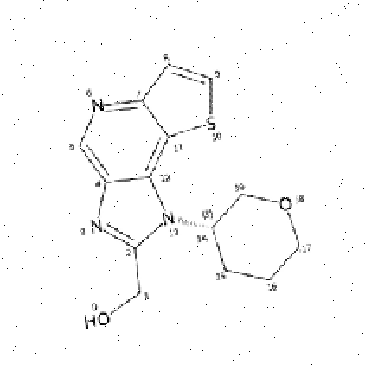 OCc1nc2cnc3ccsc3c2n1[C@H]1CC[CH]OC1